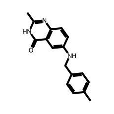 Cc1ccc(CNc2ccc3nc(C)[nH]c(=O)c3c2)cc1